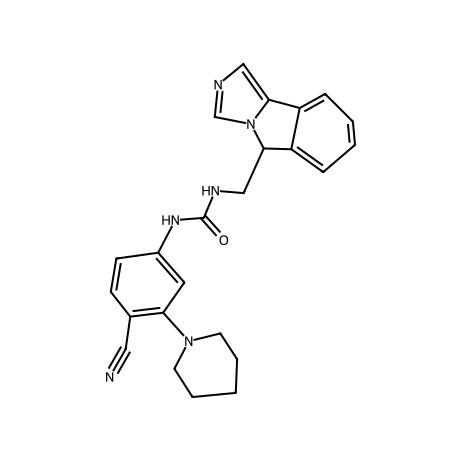 N#Cc1ccc(NC(=O)NCC2c3ccccc3-c3cncn32)cc1N1CCCCC1